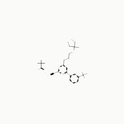 CCC(C)(CC)NCCCc1cc(-c2cccc(C(F)(F)F)c2)nc(C#N)n1.O=C(O)C(F)(F)F